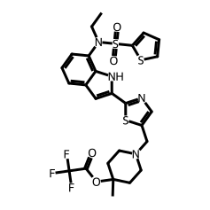 CCN(c1cccc2cc(-c3ncc(CN4CCC(C)(OC(=O)C(F)(F)F)CC4)s3)[nH]c12)S(=O)(=O)c1cccs1